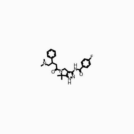 CN(C)CC(CC(=O)N1Cc2c(NC(=O)c3ccc(F)cc3)n[nH]c2C1(C)C)c1ccccc1